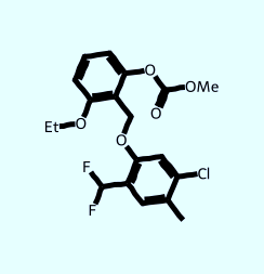 CCOc1cccc(OC(=O)OC)c1COc1cc(Cl)c(C)cc1C(F)F